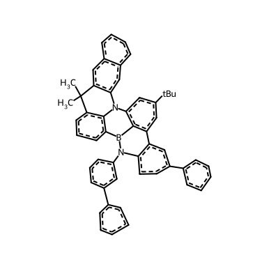 CC(C)(C)c1cc2c3c(c1)N1c4cc5ccccc5cc4C(C)(C)c4cccc(c41)B3N(c1cccc(-c3ccccc3)c1)c1ccc(-c3ccccc3)cc1-2